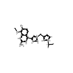 COc1c(F)ccc2c(-c3cn(Cc4ccn(C(C)C)n4)nn3)nc(N)nc12